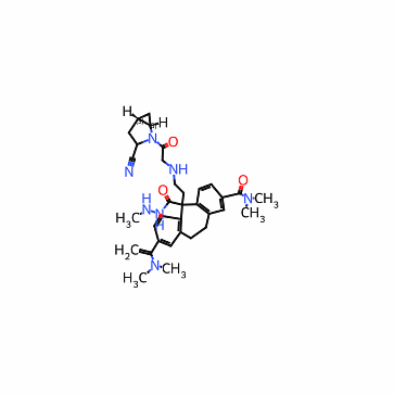 C=C(c1ccc2c(c1)CCc1cc(C(=O)N(C)C)ccc1C2(CCNCC(=O)N1C(C#N)C[C@@H]2C[C@@H]21)C(=O)NNC)N(C)C